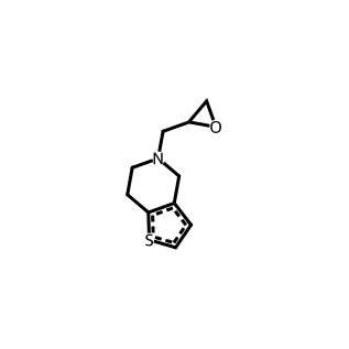 c1cc2c(s1)CCN(CC1CO1)C2